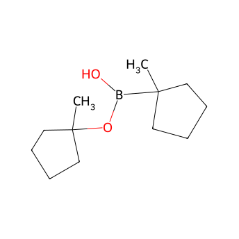 CC1(OB(O)C2(C)CCCC2)CCCC1